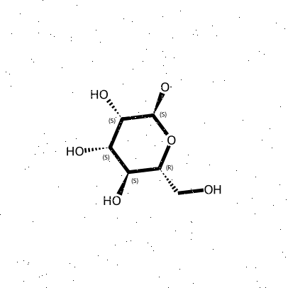 [O][C@H]1O[C@H](CO)[C@@H](O)[C@H](O)[C@@H]1O